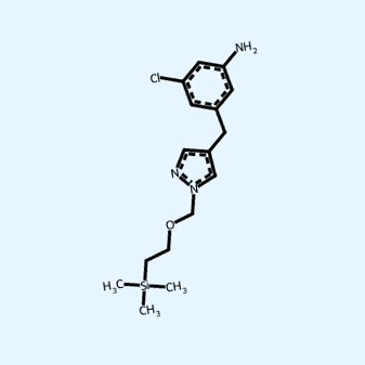 C[Si](C)(C)CCOCn1cc(Cc2cc(N)cc(Cl)c2)cn1